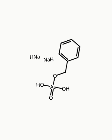 O=[As](O)(O)OCc1ccccc1.[NaH].[NaH]